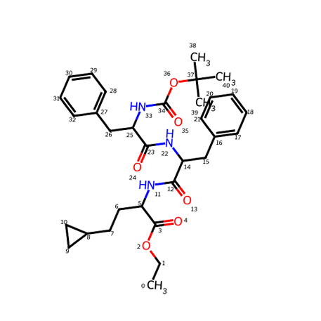 CCOC(=O)C(CCC1CC1)NC(=O)C(Cc1ccccc1)NC(=O)C(Cc1ccccc1)NC(=O)OC(C)(C)C